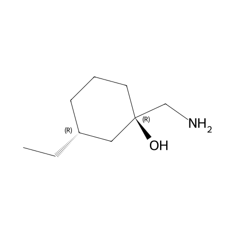 CC[C@@H]1CCC[C@](O)(CN)C1